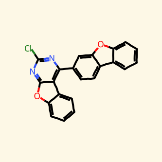 Clc1nc(-c2ccc3c(c2)oc2ccccc23)c2c(n1)oc1ccccc12